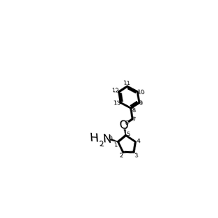 N[C@@H]1CCC[C@@H]1OCc1ccccc1